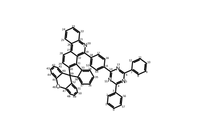 c1ccc(-c2nc(-c3ccccc3)nc(-c3ccc(-c4nc5ccccc5c5ccc6c(c45)-c4ccccc4C64c5ccccc5Oc5ccccc54)cc3)n2)cc1